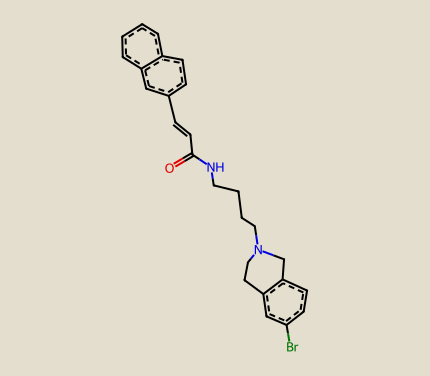 O=C(/C=C/c1ccc2ccccc2c1)NCCCCN1CCc2cc(Br)ccc2C1